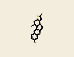 Cc1ccc2cc3c(ccc4c5cc(C)sc5cc(C)c34)cc2c1